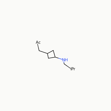 CC(=O)CC1CC(NCC(C)C)C1